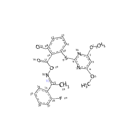 COc1cc(OC)nc(Sc2cccc(Cl)c2C(=O)O/N=C(\C)c2ccccc2F)n1